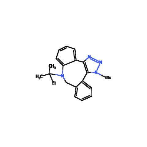 CCC(C)(C)N1Cc2ccccc2-c2c(nnn2C(C)(C)C)-c2ccccc21